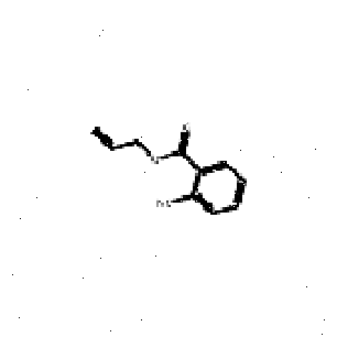 C=CCOC(=O)c1ccccc1C#N